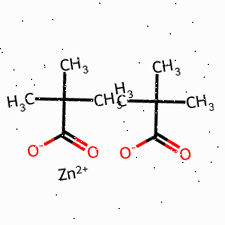 CC(C)(C)C(=O)[O-].CC(C)(C)C(=O)[O-].[Zn+2]